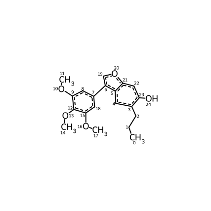 CCCc1cc2c(-c3cc(OC)c(OC)c(OC)c3)coc2cc1O